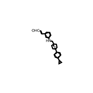 O=[C]/C=C/c1cccc(NCC23CCC(c4ccc(C5CC5)cc4)(CC2)CC3)c1